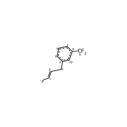 [CH2]/C=C/Cc1cccc(C(F)(F)F)c1